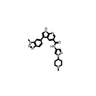 CN1CCC(n2cc(NC(=O)c3cnc4[nH]cc(-c5ccc6nnn(C)c6c5)c4c3)cn2)CC1